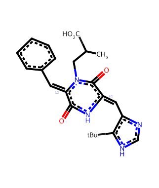 CC(Cn1c(=O)/c(=C/c2nc[nH]c2C(C)(C)C)[nH]c(=O)/c1=C/c1ccccc1)C(=O)O